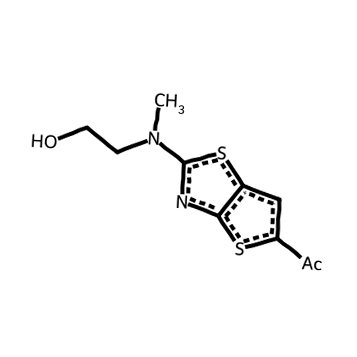 CC(=O)c1cc2sc(N(C)CCO)nc2s1